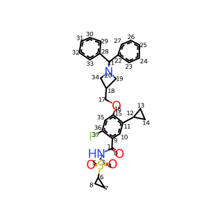 O=C(NS(=O)(=O)C1CC1)c1cc(C2CC2)c(OCC2CN(C(c3ccccc3)c3ccccc3)C2)cc1F